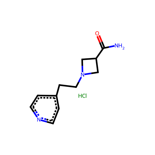 Cl.NC(=O)C1CN(CCc2ccncc2)C1